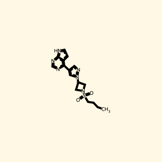 CCCCS(=O)(=O)N1C[C](n2cc(-c3ncnc4[nH]ccc34)cn2)C1